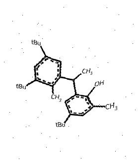 Cc1cc(C(C)(C)C)cc(C(C)c2cc(C(C)(C)C)cc(C(C)(C)C)c2C)c1O